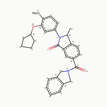 COc1ccc(N2C(=O)c3cc(C(=O)N4Cc5ccccc5C4)ccc3C2C)cc1OC1CCCC1